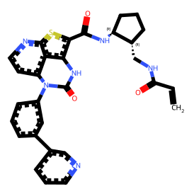 C=CC(=O)NC[C@H]1CCC[C@H]1NC(=O)c1sc2nccc3c2c1NC(=O)N3c1cccc(-c2cccnc2)c1